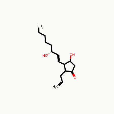 C=CCC1C(=O)CC(O)C1/C=C/[C@H](O)CCCCC